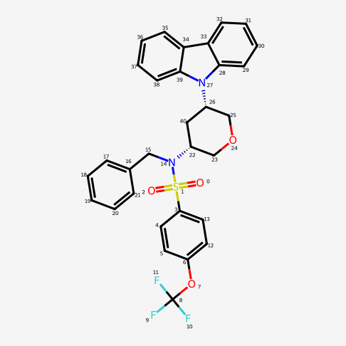 O=S(=O)(c1ccc(OC(F)(F)F)cc1)N(Cc1ccccc1)[C@H]1COC[C@@H](n2c3ccccc3c3ccccc32)C1